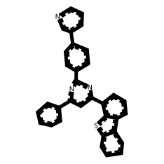 c1ccc(-c2cc(-c3cccc4c3sc3ccccc34)nc(-c3ccc(-c4cccnc4)cc3)n2)cc1